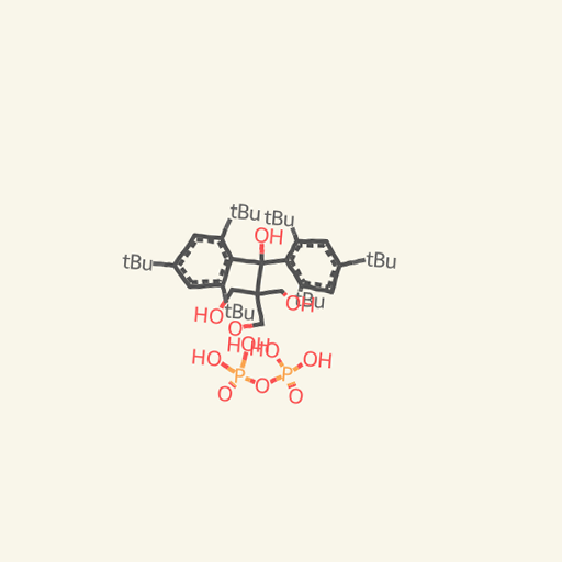 CC(C)(C)c1cc(C(C)(C)C)c(C(O)(c2c(C(C)(C)C)cc(C(C)(C)C)cc2C(C)(C)C)C(CO)(CO)CO)c(C(C)(C)C)c1.O=P(O)(O)OP(=O)(O)O